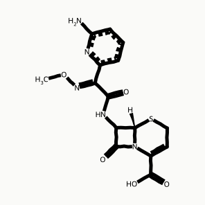 CON=C(C(=O)NC1C(=O)N2C(C(=O)O)=CCS[C@@H]12)c1cccc(N)n1